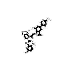 COC[C@H]1C[C@@H](C(=O)Nc2nc(Br)ccc2C)N(C(=O)Cn2nc(C(C)=O)c3cc(-c4cnc(C)nc4)cc(C)c32)[C@@H]1I